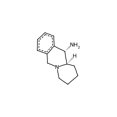 N[C@H]1c2ccccc2CN2CCCC[C@H]12